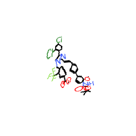 COC(=O)c1ccc(Cn2cc(-c3ccc(Cl)cc3Cl)nc2/C=C/c2ccc(-c3ccc(NC(=O)OC(C)(C)C)c(OC)c3)cc2)c(C(F)(F)F)c1